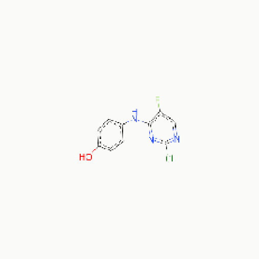 Oc1ccc(Nc2nc(Cl)ncc2F)cc1